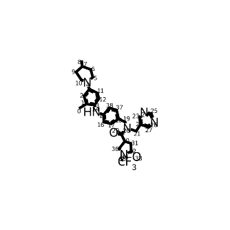 Cc1cc(N2CCC(C)CC2)ccc1Nc1ccc(CN(Cc2cncnc2)C(=O)C2CC(=O)N(C(F)(F)F)C2)cc1